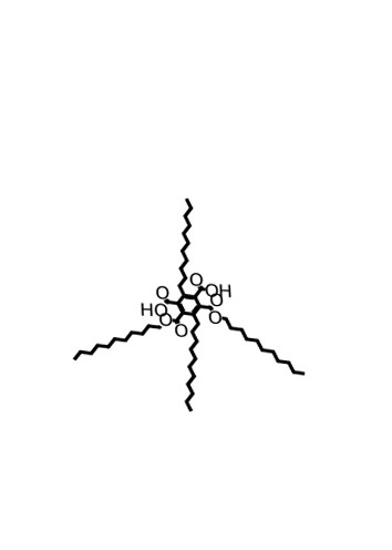 CCCCCCCCCCCOC(=O)c1c(CCCCCCCCCCC)c(C(=O)OCCCCCCCCCCC)c(C(=O)O)c(CCCCCCCCCCC)c1C(=O)O